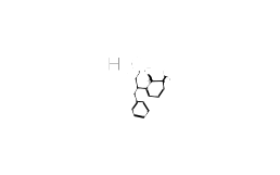 CCC[C](Cc1ccccc1)C1=CC=CC(=S)C1=S